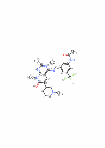 CC(=O)Nc1cc([C@@H](C)Nc2nc(C)nc3c2cc(C2CCCN(C)C2)c(=O)n3C)cc(C(F)(F)F)c1